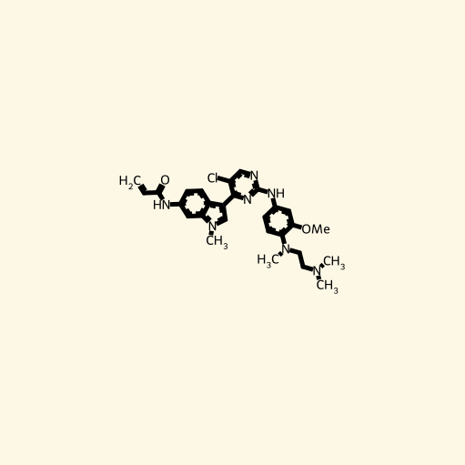 C=CC(=O)Nc1ccc2c(-c3nc(Nc4ccc(N(C)CCN(C)C)c(OC)c4)ncc3Cl)cn(C)c2c1